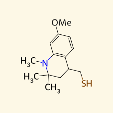 COc1ccc2c(c1)N(C)C(C)(C)CC2CS